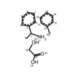 CC(N)c1ccccc1.Fc1ccccc1.O=C(O)CO